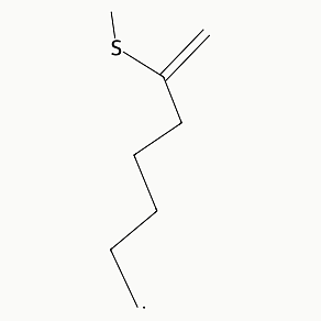 [CH2]CCCCC(=C)SC